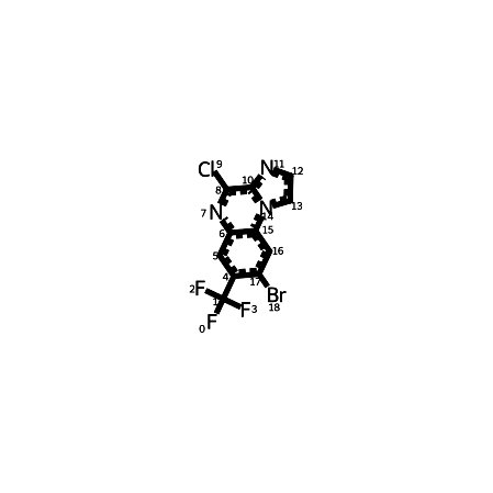 FC(F)(F)c1cc2nc(Cl)c3nccn3c2cc1Br